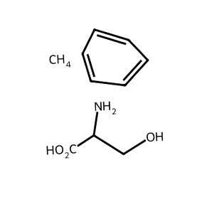 C.NC(CO)C(=O)O.c1ccccc1